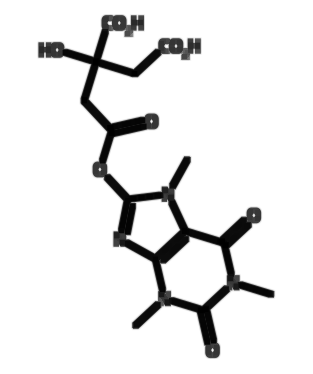 Cn1c(=O)c2c(nc(OC(=O)CC(O)(CC(=O)O)C(=O)O)n2C)n(C)c1=O